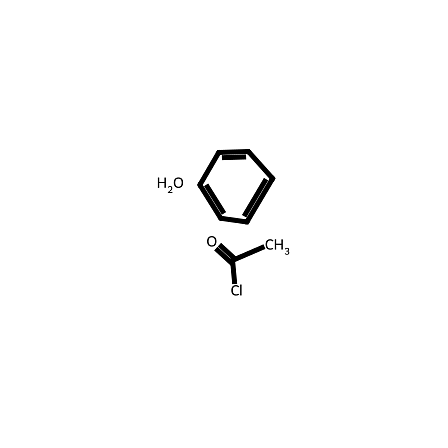 CC(=O)Cl.O.c1ccccc1